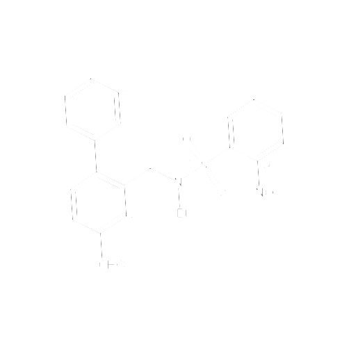 CCN(Cc1cc(C=O)ccc1-c1ccccc1)S(=O)(=O)c1ccccc1N=O